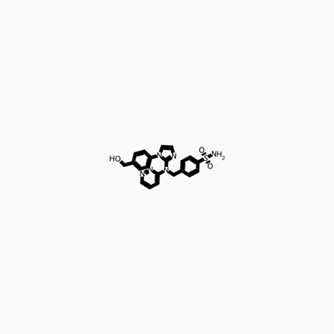 NS(=O)(=O)c1ccc(CN(c2cccnn2)c2nccn2-c2ccc(CO)cc2)cc1